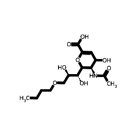 CCCCOC[C@@H](O)[C@@H](O)C1OC(C(=O)O)=CC(O)[C@H]1NC(C)=O